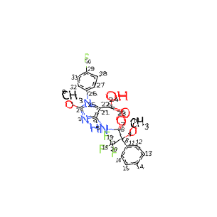 COc1nc(NC(=O)C(OC)(c2ccccc2)C(F)(F)F)c(C(=O)O)n1-c1ccc(F)cc1